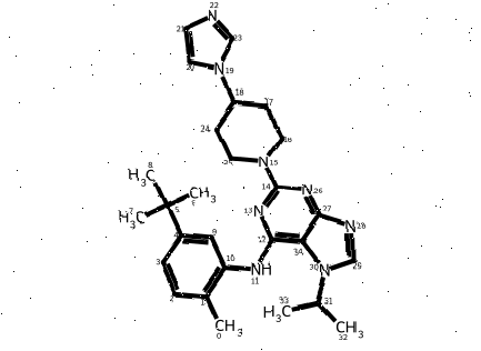 Cc1ccc(C(C)(C)C)cc1Nc1nc(N2CCC(n3ccnc3)CC2)nc2ncn(C(C)C)c12